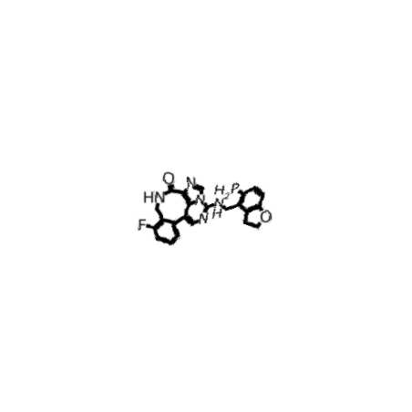 O=C1NCc2c(F)cccc2-c2cnc(NCc3c(P)ccc4c3CCO4)n3cnc1c23